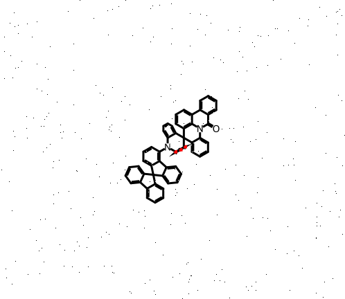 O=c1c2ccccc2c2cccc3c2n1-c1ccccc1C31c2ccccc2N(c2cccc3c2-c2ccccc2C32c3ccccc3-c3ccccc32)c2ccccc21